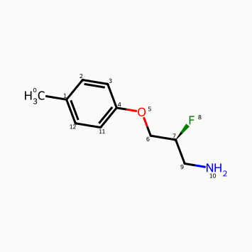 Cc1ccc(OC[C@@H](F)CN)cc1